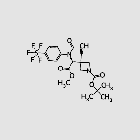 C#CC1([C@@H](C(=O)OC)N(C=O)c2ccc(S(F)(F)(F)(F)F)cc2)CN(C(=O)OC(C)(C)C)C1